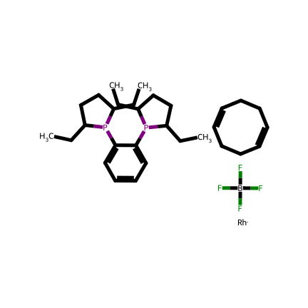 C1=CCCC=CCC1.CCC1CCC(CC)P1c1ccccc1P1C(CC)CCC1CC.F[B-](F)(F)F.[Rh]